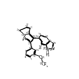 FC(F)(F)Oc1cccc(-c2nn3c(c2-c2ccc4cn[nH]c4c2)CCC3)c1